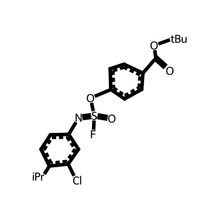 CC(C)c1ccc(N=S(=O)(F)Oc2ccc(C(=O)OC(C)(C)C)cc2)cc1Cl